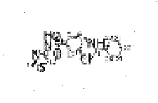 CC(Nc1ccc(S(=O)(=O)Nc2cscn2)cc1Cl)c1ccccc1